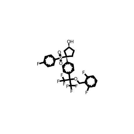 O=S(=O)(c1ccc(F)cc1)[C@@]1(c2ccc(C(OCc3c(F)cccc3F)(C(F)(F)F)C(F)(F)F)cc2)CC[C@H](O)C1